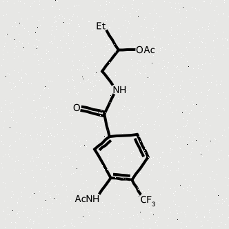 CCC(CNC(=O)c1ccc(C(F)(F)F)c(NC(C)=O)c1)OC(C)=O